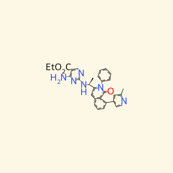 CCOC(=O)c1cnc(N[C@@H](C)c2cc3cccc(-c4ccnc(C)c4)c3c(=O)n2-c2ccccc2)nc1N